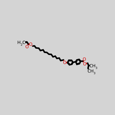 C=CC(=O)OCCCCCCCCCCCCCCCCOc1ccc(-c2ccc(C(=O)OCC(C)CC)cc2)cc1